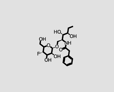 CC[C@@H](O)[C@@H](O)[C@H](CO[C@H]1OC(CO)[C@@H](F)C(O)[C@@H]1O)NC(=O)Cc1ccccc1